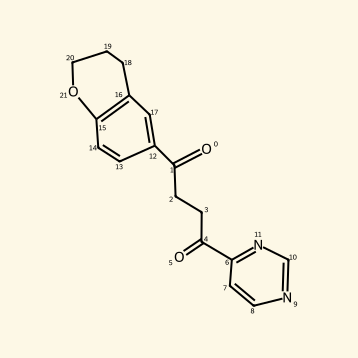 O=C(CCC(=O)c1ccncn1)c1ccc2c(c1)CCCO2